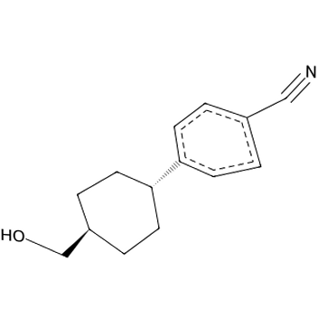 N#Cc1ccc([C@H]2CC[C@H](CO)CC2)cc1